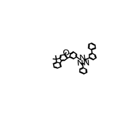 CC1(C)c2ccccc2-c2cc3c(cc21)oc1ccc(-c2nc(-c4ccccc4)nc(-c4cccc(-c5ccccc5)c4)n2)cc13